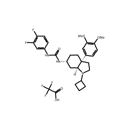 COc1ccc([C@@]23CC[C@@H](NC(=O)Nc4ccc(F)c(F)c4)C[C@@H]2N(C2CCC2)CC3)cc1OC.O=C(O)C(F)(F)F